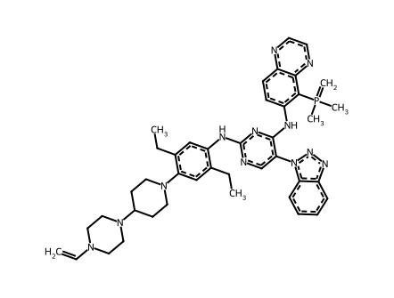 C=CN1CCN(C2CCN(c3cc(CC)c(Nc4ncc(-n5nnc6ccccc65)c(Nc5ccc6nccnc6c5P(=C)(C)C)n4)cc3CC)CC2)CC1